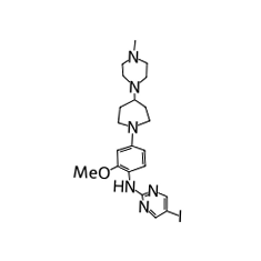 COc1cc(N2CCC(N3CCN(C)CC3)CC2)ccc1Nc1ncc(I)cn1